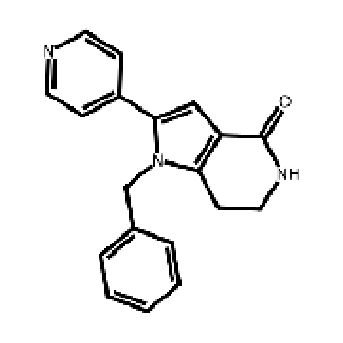 O=C1NCCc2c1cc(-c1ccncc1)n2Cc1ccccc1